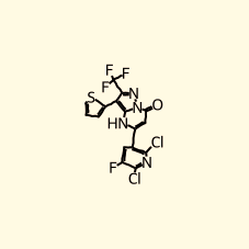 O=c1cc(-c2cc(F)c(Cl)nc2Cl)[nH]c2c(-c3cccs3)c(C(F)(F)F)nn12